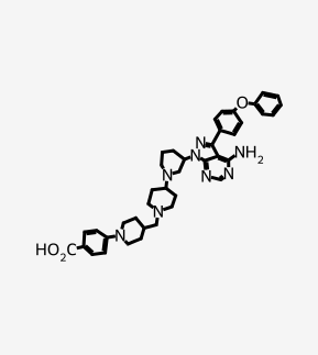 Nc1ncnc2c1c(-c1ccc(Oc3ccccc3)cc1)nn2C1CCCN(C2CCN(CC3CCN(c4ccc(C(=O)O)cc4)CC3)CC2)C1